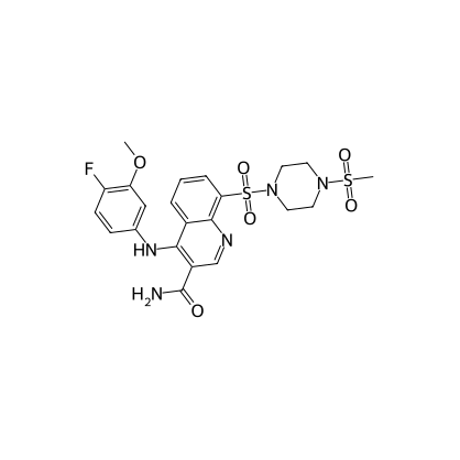 COc1cc(Nc2c(C(N)=O)cnc3c(S(=O)(=O)N4CCN(S(C)(=O)=O)CC4)cccc23)ccc1F